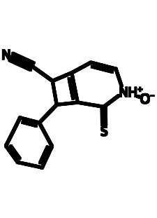 N#CC1C2=C(C(=S)[NH+]([O-])C=C2)C1c1ccccc1